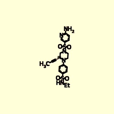 CC#C[C@@H]1CN(S(=O)(=O)c2ccc(N)nc2)CCN1c1ccc(S(=O)(=O)NCC)cc1